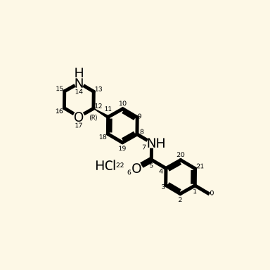 Cc1ccc(C(=O)Nc2ccc([C@@H]3CNCCO3)cc2)cc1.Cl